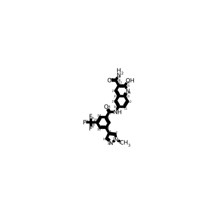 Cn1cc(-c2cc(C(=O)Nc3ccc4nc(O)c(C(N)=O)cc4c3)cc(C(F)(F)F)c2)cn1